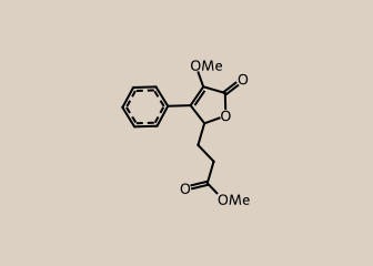 COC(=O)CCC1OC(=O)C(OC)=C1c1ccccc1